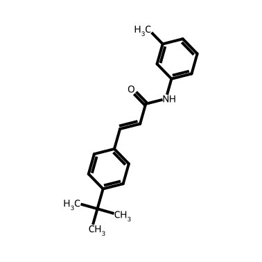 Cc1cccc(NC(=O)/C=C/c2ccc(C(C)(C)C)cc2)c1